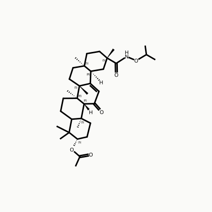 CC(=O)O[C@H]1CC[C@@]2(C)C(CC[C@]3(C)[C@@H]2C(=O)C=C2[C@@H]4C[C@@](C)(C(=O)NOC(C)C)CC[C@]4(C)CC[C@]23C)C1(C)C